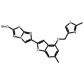 COc1nn2cc(-c3cc4c(OCc5csc(C)n5)cc(C)cc4o3)nc2s1